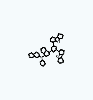 c1ccc(N(c2ccc3ccccc3c2)c2ccc(-c3cc(-c4cccc5c4oc4ccccc45)cc(-c4cccc5c4oc4ccccc45)c3)c3ccccc23)cc1